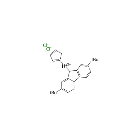 CC(C)(C)c1ccc2c(c1)[CH]([Hf+2][C]1=CC=CC1)c1cc(C(C)(C)C)ccc1-2.[Cl-].[Cl-]